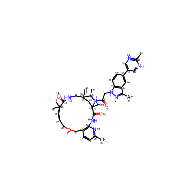 CC(=O)c1nn(CC(=O)N2[C@H](C)[C@H]3CNC(=O)C(C)(C)CCCOCc4ccc(C(F)(F)F)nc4NC(=O)[C@@H]2C3)c2ccc(-c3cnc(C)nc3)cc12